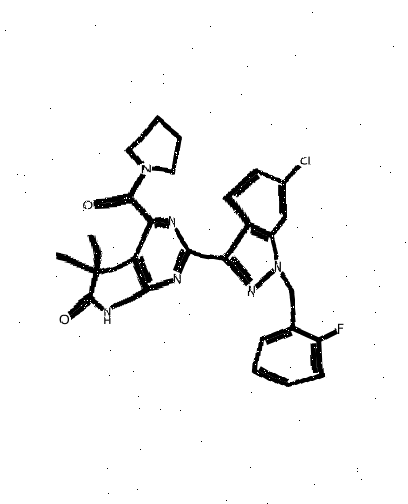 CC1(C)C(=O)Nc2nc(-c3nn(Cc4ccccc4F)c4cc(Cl)ccc34)nc(C(=O)N3CCCC3)c21